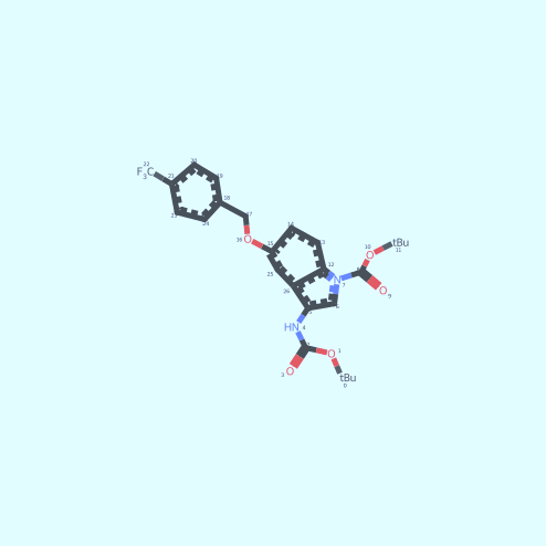 CC(C)(C)OC(=O)Nc1cn(C(=O)OC(C)(C)C)c2ccc(OCc3ccc(C(F)(F)F)cc3)cc12